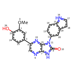 COc1cc(-c2cnc3[nH]c(=O)n(-c4ccc5[nH]ccc5c4)c3n2)ccc1O